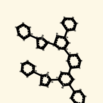 c1ccc(-c2cc(-c3cccc(-c4cc(-c5ccccc5)nc(-c5ccc(-c6ccccc6)o5)c4)c3)cc(-c3ccc(-c4ccccc4)o3)n2)cc1